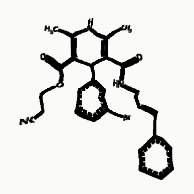 CC1=C(C(=O)NCC=Cc2ccccc2)C(c2cccc(Br)c2)C(C(=O)OCCC#N)=C(C)N1